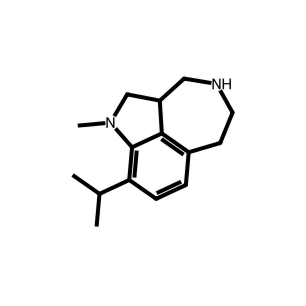 CC(C)c1ccc2c3c1N(C)CC3CNCC2